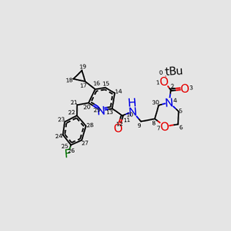 CC(C)(C)OC(=O)N1CCOC(CNC(=O)c2ccc(C3CC3)c(Cc3ccc(F)cc3)n2)C1